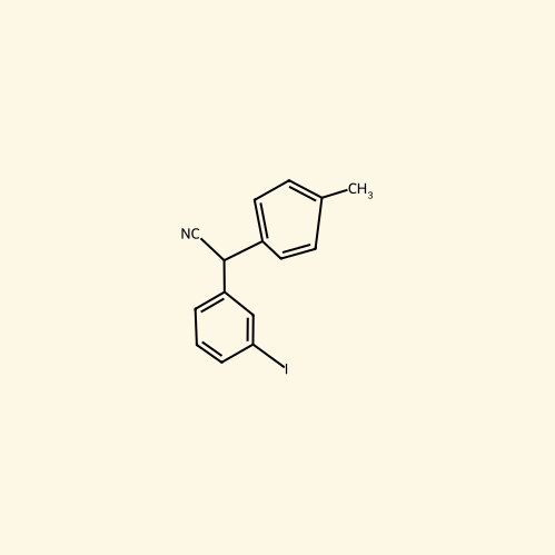 Cc1ccc(C(C#N)c2cccc(I)c2)cc1